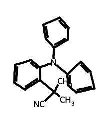 CC(C)(C#N)c1ccccc1N(c1ccccc1)c1ccccc1